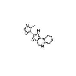 Cc1ncoc1-c1nc2cnc3ccccc3c2[nH]1